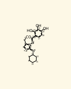 O=C(O)Cc1cs/c(=N\C2CCCCC2)n1/N=C/c1ccc(O)c(O)c1O